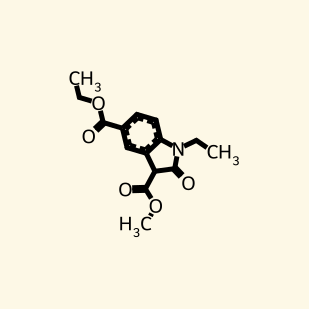 CCOC(=O)c1ccc2c(c1)C(C(=O)OC)C(=O)N2CC